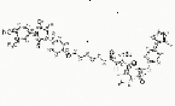 Cc1ncsc1-c1ccc(CNC(=O)[C@@H]2CCCN2C(=O)C(NC(=O)CCOCCCOc2ccc(N3C(=S)N(c4ccc(C#N)c(C(F)(F)F)c4)C(=O)C3(C)C)cc2)C(C)(C)C)cc1